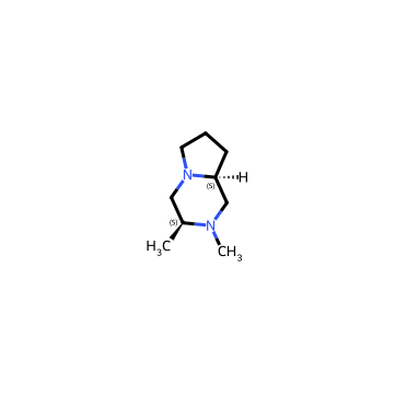 C[C@H]1CN2CCC[C@H]2CN1C